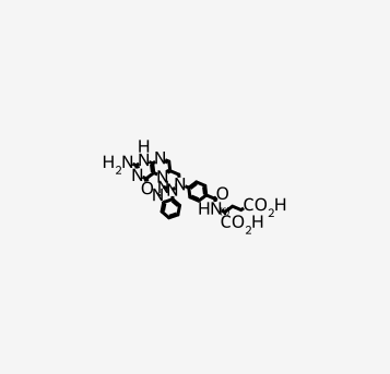 Nc1nc(=O)c2nc(CN(c3ccc(C(=O)N[C@@H](CCC(=O)O)C(=O)O)cc3)n3nnc4ccccc43)cnc2[nH]1